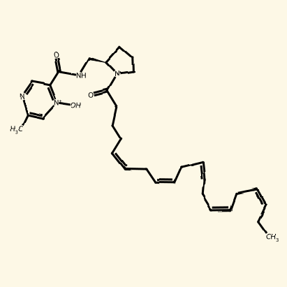 CC/C=C\C/C=C\C/C=C\C/C=C\C/C=C\CCCC(=O)N1CCC[C@@H]1CNC(=O)c1cnc(C)c[n+]1O